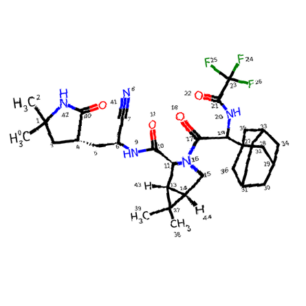 CC1(C)C[C@@H](C[C@@H](C#N)NC(=O)[C@@H]2[C@@H]3[C@H](CN2C(=O)C(NC(=O)C(F)(F)F)C24CC5CC(CC(C5)C2)C4)C3(C)C)C(=O)N1